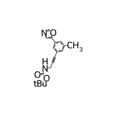 Cc1cc(C#CCNC(=O)OC(C)(C)C)cc(-c2cnco2)c1